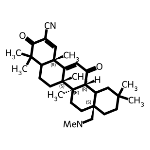 CNC[C@]12CCC(C)(C)CC1[C@H]1C(=O)C=C3[C@@]4(C)C=C(C#N)C(=O)C(C)(C)C4CC[C@@]3(C)[C@]1(C)CC2